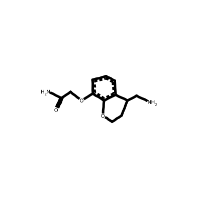 NCC1CCOc2c(OCC(N)=O)cccc21